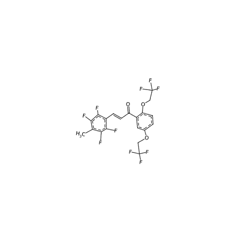 Cc1c(F)c(F)c(C=CC(=O)c2cc(OCC(F)(F)F)ccc2OCC(F)(F)F)c(F)c1F